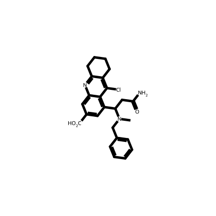 CN(Cc1ccccc1)C(CC(N)=O)c1cc(C(=O)O)cc2nc3c(c(Cl)c12)CCCC3